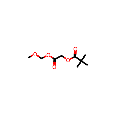 COCOC(=O)COC(=O)C(C)(C)C